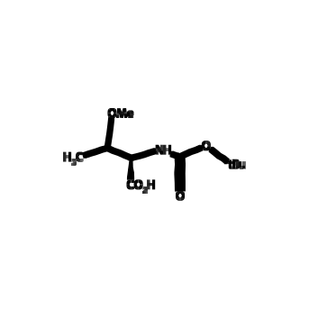 COC(C)[C@@H](NC(=O)OC(C)(C)C)C(=O)O